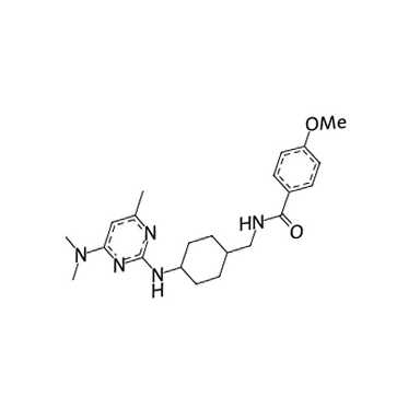 COc1ccc(C(=O)NCC2CCC(Nc3nc(C)cc(N(C)C)n3)CC2)cc1